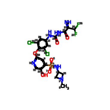 CN1CC(NS(=O)(=O)c2cc(Oc3c(Cl)cc(NC(=O)NC(=O)C(=N)C(F)F)cc3Cl)ncc2O)C1